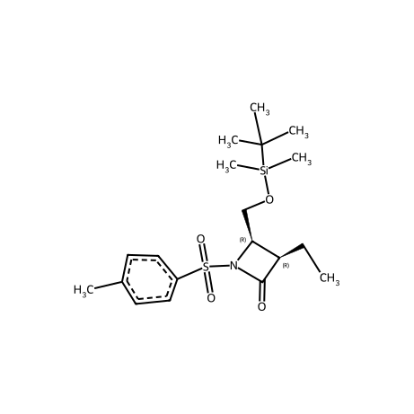 CC[C@H]1C(=O)N(S(=O)(=O)c2ccc(C)cc2)[C@H]1CO[Si](C)(C)C(C)(C)C